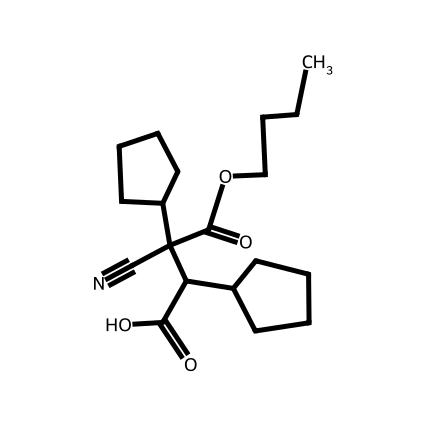 CCCCOC(=O)C(C#N)(C1CCCC1)C(C(=O)O)C1CCCC1